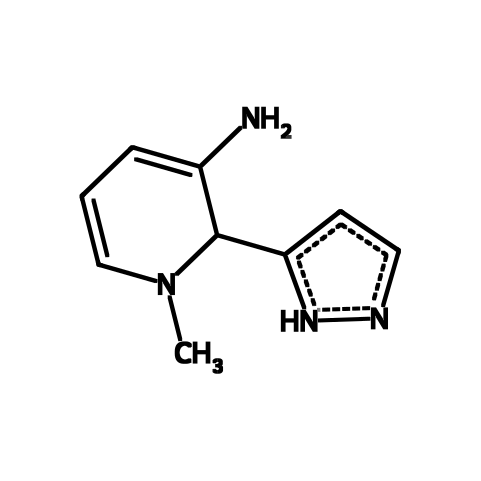 CN1C=CC=C(N)C1c1ccn[nH]1